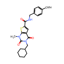 COc1ccc(CNC(=O)c2cc3c(=O)n(CC4CCCCC4)c(=O)n(C)c3s2)cc1